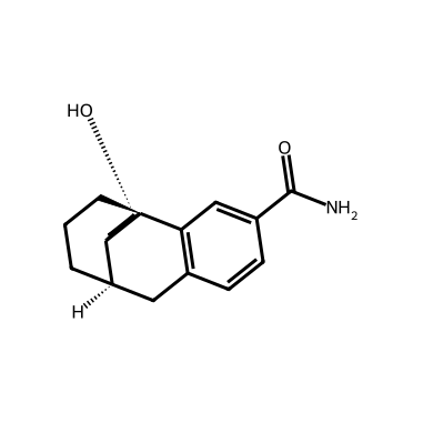 NC(=O)c1ccc2c(c1)[C@]13CCC[C@H](C2)C1CC[C@H](O)C3